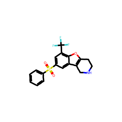 O=S(=O)(c1ccccc1)c1cc(C(F)(F)F)c2oc3c(c2c1)CNCC3